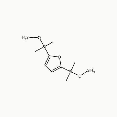 C[Si](C)(O[SiH3])c1ccc([Si](C)(C)O[SiH3])o1